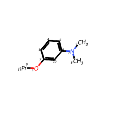 CCCOc1cccc(N(C)C)c1